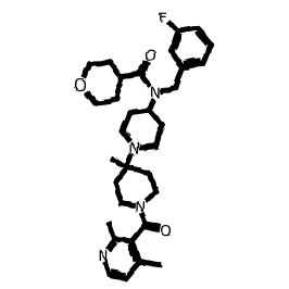 Cc1ccnc(C)c1C(=O)N1CCC(C)(N2CCC(N(Cc3cccc(F)c3)C(=O)C3CCOCC3)CC2)CC1